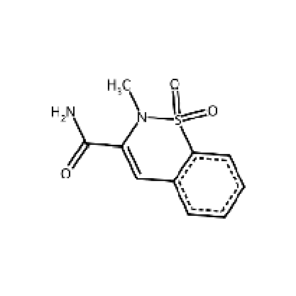 CN1C(C(N)=O)=Cc2ccccc2S1(=O)=O